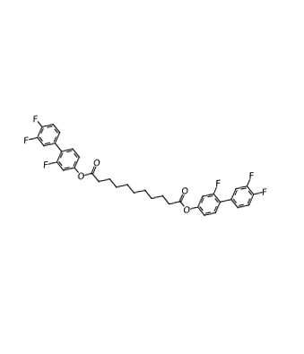 O=C(CCCCCCCCCC(=O)Oc1ccc(-c2ccc(F)c(F)c2)c(F)c1)Oc1ccc(-c2ccc(F)c(F)c2)c(F)c1